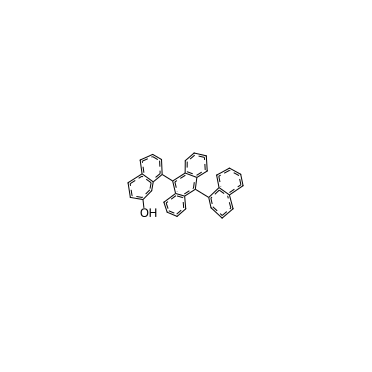 Oc1ccc2cccc(-c3c4ccccc4c(-c4cccc5ccccc45)c4ccccc34)c2c1